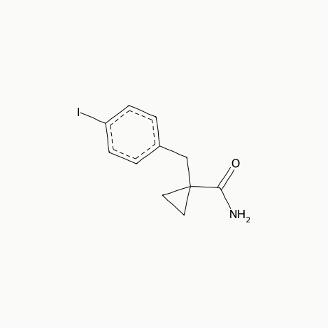 NC(=O)C1(Cc2ccc(I)cc2)CC1